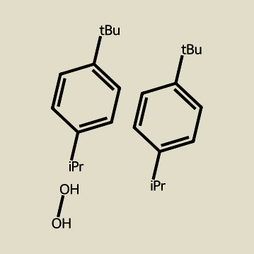 CC(C)c1ccc(C(C)(C)C)cc1.CC(C)c1ccc(C(C)(C)C)cc1.OO